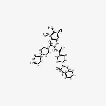 O=C(N[C@H](Cc1cc(Cl)c(O)c(C(F)(F)F)c1)C(=O)N1CCC(C2CCNCC2)CC1)N1CCC(N2Cc3ccccc3NC2=O)CC1